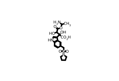 CC(N)OC(=O)C(O)C(O)(C(=O)O)c1c[nH]c2ccc(CS(=O)(=O)N3CCCC3)cc12